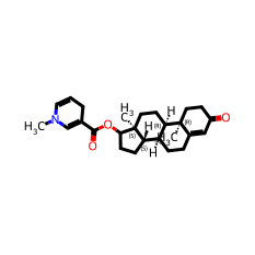 CN1C=CCC(C(=O)OC2CC[C@H]3[C@@H]4CCC5=CC(=O)CC[C@]5(C)[C@@H]4CC[C@]23C)=C1